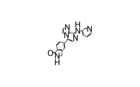 O=C1NCc2cc(-c3cnc(Nc4cccnc4)c4nccn34)ccc21